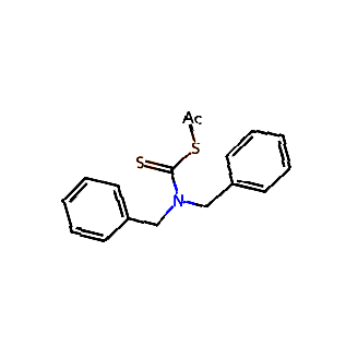 CC(=O)SC(=S)N(Cc1ccccc1)Cc1ccccc1